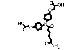 NC(=O)CCCCC(=O)N(c1ccc(OCC(O)Cl)cc1)c1ccc(OCC(O)Cl)cc1